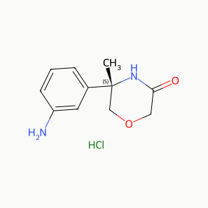 C[C@]1(c2cccc(N)c2)COCC(=O)N1.Cl